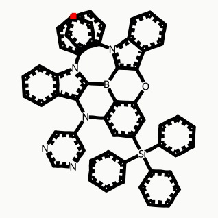 c1ccc(-n2c3c(c4ccccc42)Oc2cc([Si](c4ccccc4)(c4ccccc4)c4ccccc4)cc4c2B3c2c(c3ccccc3n2-c2ccccc2)N4c2cncnc2)cc1